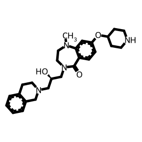 CN1CCN(C[C@H](O)CN2CCc3ccccc3C2)C(=O)c2ccc(OC3CCNCC3)cc21